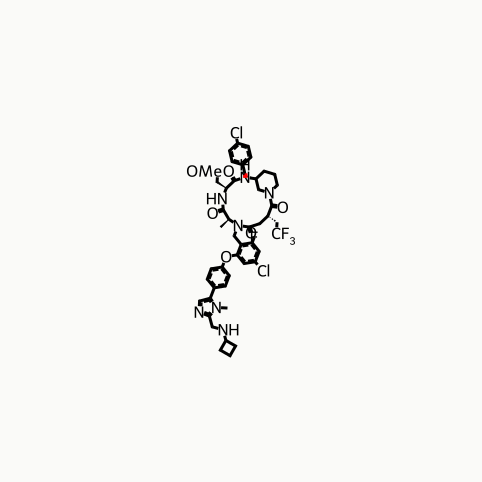 COC[C@@H]1NC(=O)[C@H](C)N(Cc2c(F)cc(Cl)cc2Oc2ccc(-c3cnc(CNC4CCC4)n3C)cc2)C(=O)C[C@@H](CC(F)(F)F)C(=O)N2CCC[C@@](Cc3ccc(Cl)cc3)(C2)NC1=O